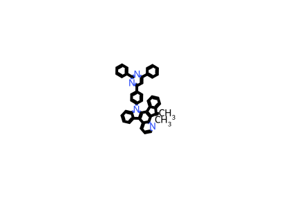 CC1(C)c2ccccc2-c2c1c1ncccc1c1c3ccccc3n(-c3ccc(-c4cc(-c5ccccc5)nc(-c5ccccc5)n4)cc3)c21